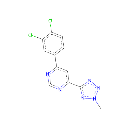 Cn1nnc(-c2cc(-c3ccc(Cl)c(Cl)c3)ncn2)n1